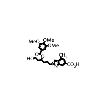 COc1cc(C(=O)OC(CCO)CCCn2cc3c(C)cc(C(=O)O)cc3n2)cc(OC)c1OC